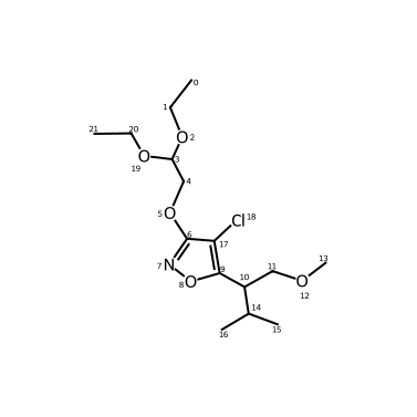 CCOC(COc1noc(C(COC)C(C)C)c1Cl)OCC